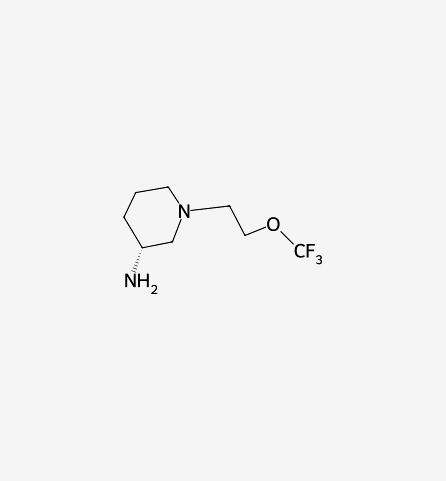 N[C@@H]1CCCN(CCOC(F)(F)F)C1